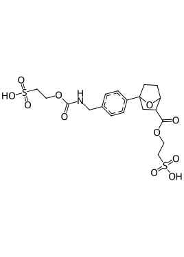 O=C(NCc1ccc(C23CCC(O2)C(C(=O)OCCS(=O)(=O)O)C3)cc1)OCCS(=O)(=O)O